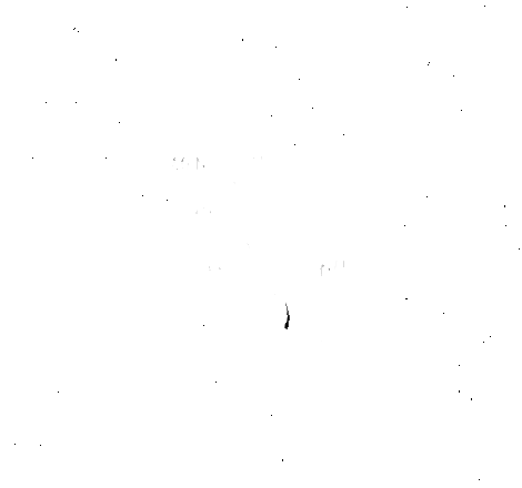 CNS(=O)(=O)C[C@@H](O)[C@@H]1CCCN1